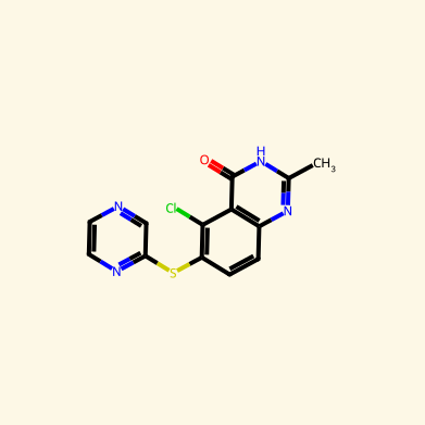 Cc1nc2ccc(Sc3cnccn3)c(Cl)c2c(=O)[nH]1